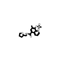 Cc1cc(C(=O)NCC2CCCO2)c2cccnc2c1OS(C)(=O)=O